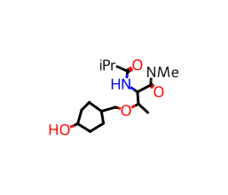 CNC(=O)C(NC(=O)C(C)C)C(C)OCC1CCC(O)CC1